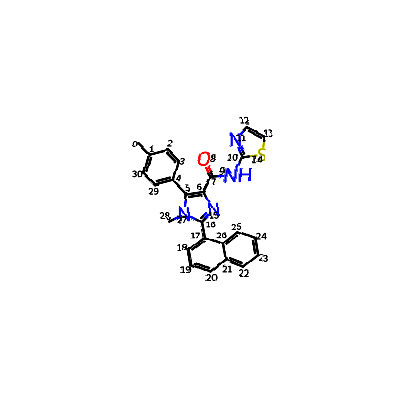 Cc1ccc(-c2c(C(=O)Nc3nccs3)nc(-c3cccc4ccccc34)n2C)cc1